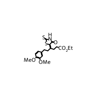 CCOC(=O)CCC(CCc1ccc(OC)c(OC)c1)=C1SC(=S)NC1=O